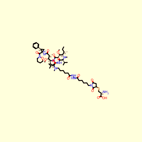 CC[C@H](C)[C@@H]([C@@H](CC(=O)N1CCC[C@H]1[C@H](OC)[C@@H](C)C(=O)N[C@@]1(C(=O)N2CCCCO2)C[C@@H]1c1ccccc1)OC)N(C)[C@H](C(=O)NC(=O)[C@H](C(C)C)N(C)CCCCCC(=O)NNC(=O)CCCCCN1C(=O)CC(SC[C@H](N)C(=O)O)C1=O)C(C)C